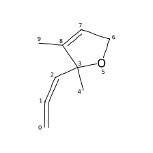 C=C=CC1(C)OCC=C1C